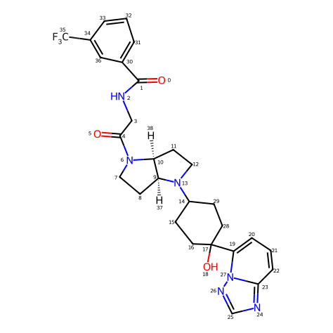 O=C(NCC(=O)N1CC[C@H]2[C@@H]1CCN2C1CCC(O)(c2cccc3ncnn23)CC1)c1cccc(C(F)(F)F)c1